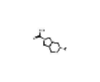 O=C(O)N1CC2CCC(F)CC2C1